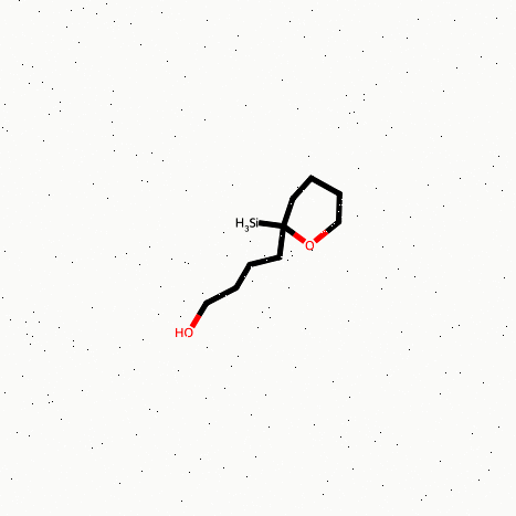 OCCCCC1([SiH3])CCCCO1